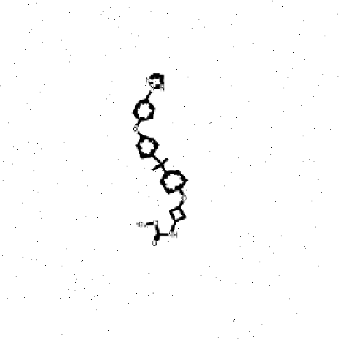 CC(C)(C)OC(=O)NC1CC(Oc2ccc(C(C)(C)c3ccc(Oc4ccc(-n5nccn5)cc4)cc3)cc2)C1